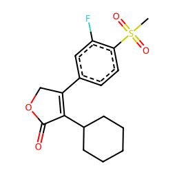 CS(=O)(=O)c1ccc(C2=C(C3CCCCC3)C(=O)OC2)cc1F